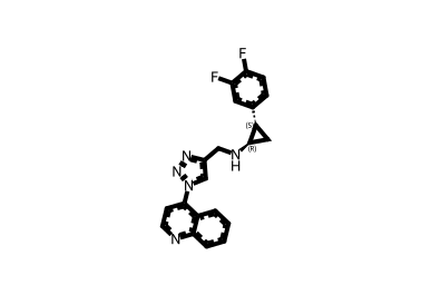 Fc1ccc([C@@H]2C[C@H]2NCc2cn(-c3ccnc4ccccc34)nn2)cc1F